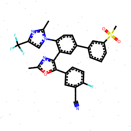 Cc1nc(-c2cc(-c3cccc(S(C)(=O)=O)c3)ccc2-n2cc(C(F)(F)F)nc2C)c(-c2ccc(F)c(C#N)c2)o1